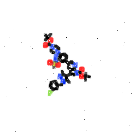 Cc1nn(Cc2cccc(F)c2)c(C)c1-c1cn(C(=O)OC(C)(C)C)c2ncc(-c3ccc(N4CCN(C(=O)OC(C)(C)C)CC4)c(NS(C)(=O)=O)c3)cc12